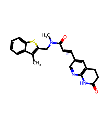 Cc1c(CN(C)C(=O)/C=C/c2cnc3c(c2)CCC(=O)N3)sc2ccccc12